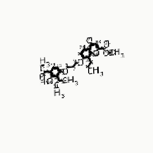 CCCc1c(OCCCOc2ccc(C(C)=O)c(O)c2C(C)C)ccc2c(=O)cc(C(=O)OC)oc12